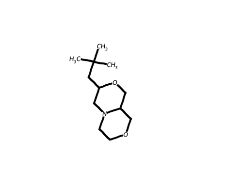 CC(C)(C)CC1CN2CCOCC2CO1